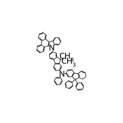 CC1(C)c2cc(N(c3ccccc3)c3ccc4c(c3)C(c3ccccc3)(c3ccccc3)C3=C4C=CCC3)ccc2-c2ccc(-n3c4ccccc4c4c5ccccc5c5ccccc5c43)cc21